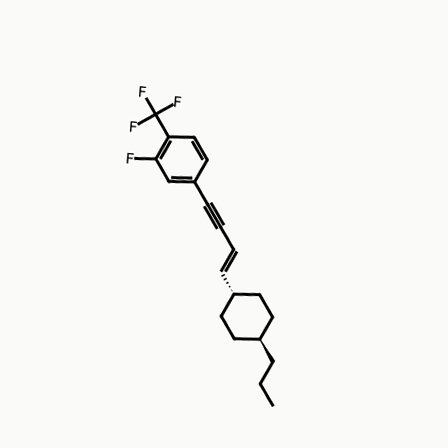 CCC[C@H]1CC[C@H](C=CC#Cc2ccc(C(F)(F)F)c(F)c2)CC1